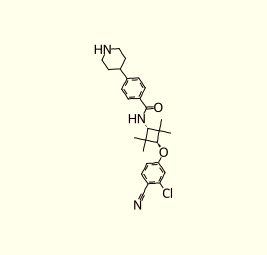 CC1(C)[C@H](NC(=O)c2ccc(C3CCNCC3)cc2)C(C)(C)[C@H]1Oc1ccc(C#N)c(Cl)c1